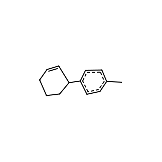 Cc1ccc(C2C=CCCC2)cc1